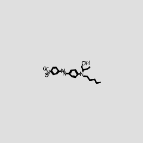 CCCCCCN(c1ccc(N=Nc2ccc([N+](=O)[O-])cc2)cc1)C(CC)CO